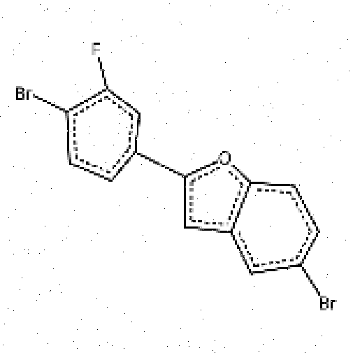 Fc1cc(-c2cc3cc(Br)ccc3o2)ccc1Br